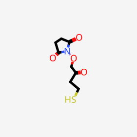 O=C(CCS)CON1C(=O)CCC1=O